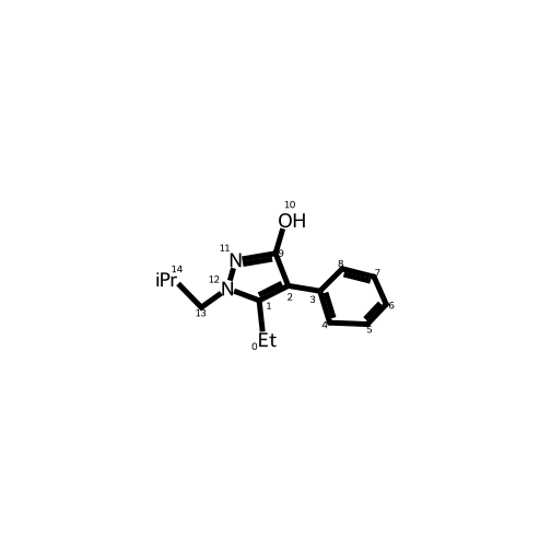 CCc1c(-c2ccccc2)c(O)nn1CC(C)C